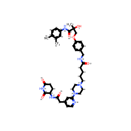 CC(O)(COc1ccc(CNC(=O)CCCCN2CCN(c3cc(CC(=O)NC4CCC(=O)NC4=O)ccn3)CC2)cc1)C(=O)Nc1ccc(C#N)c(C(F)(F)F)c1